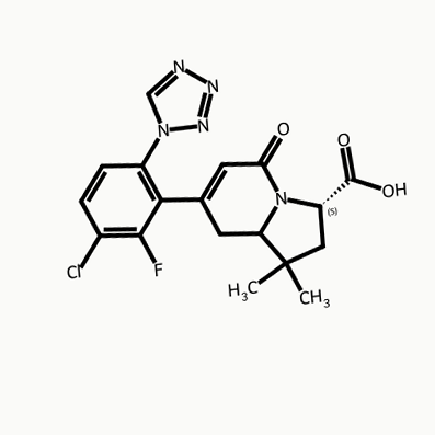 CC1(C)C[C@@H](C(=O)O)N2C(=O)C=C(c3c(-n4cnnn4)ccc(Cl)c3F)CC21